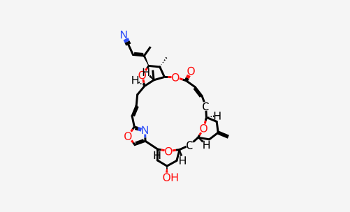 C=C1C[C@@H]2C[C@@H]3C[C@@H](O)C[C@@H](O3)c3coc(n3)/C=C/C[C@H]3O[C@@H](/C(C)=C/C#N)[C@H](C)C(OC(=O)/C=C\C[C@@H](C1)O2)[C@H]3C